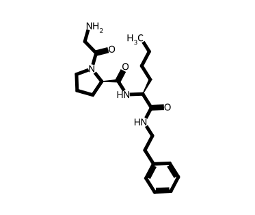 CCCC[C@H](NC(=O)[C@H]1CCCN1C(=O)CN)C(=O)NCCc1ccccc1